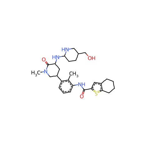 Cc1c(NC(=O)c2cc3c(s2)CCCC3)cccc1C1CC(NC2CCC(CO)CN2)C(=O)N(C)C1